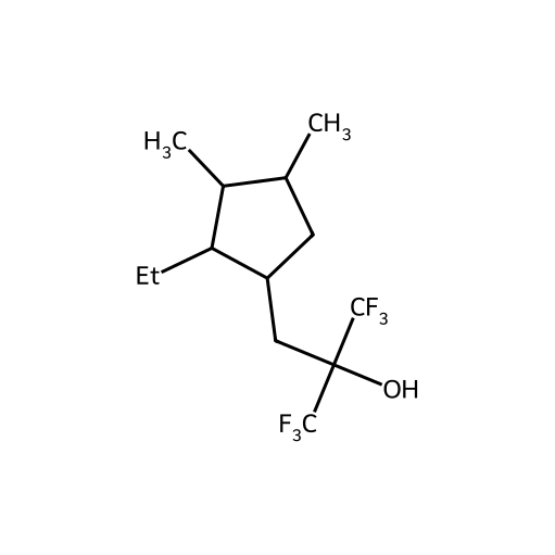 CCC1C(CC(O)(C(F)(F)F)C(F)(F)F)CC(C)C1C